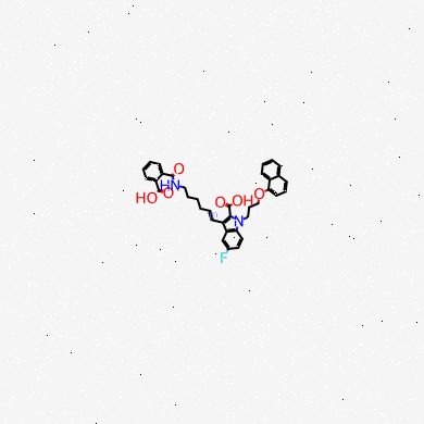 O=C(O)c1ccccc1C(=O)NCCCC/C=C/c1c(C(=O)O)n(CCCOc2cccc3ccccc23)c2ccc(F)cc12